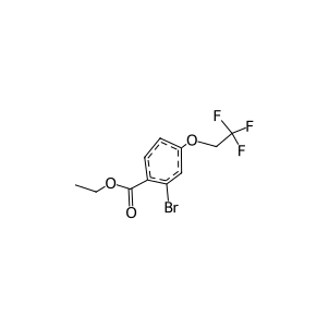 CCOC(=O)c1ccc(OCC(F)(F)F)cc1Br